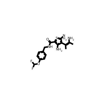 C/C(N)=C(\C)c1c(N)sc(C(=O)NCc2ccc(OC(F)F)cc2)c1N